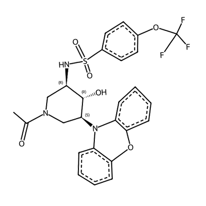 CC(=O)N1C[C@@H](NS(=O)(=O)c2ccc(OC(F)(F)F)cc2)[C@H](O)[C@@H](N2c3ccccc3Oc3ccccc32)C1